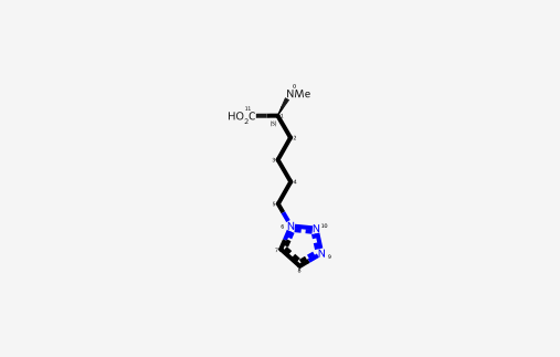 CN[C@@H](CCCCn1ccnn1)C(=O)O